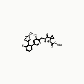 Cn1nnc(-c2c(F)cccc2-c2cnc(CNC(=O)C3(NC(=O)OC(C)(C)C)CC3)c(Cl)c2)n1